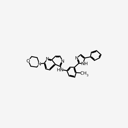 Cc1ccc(Nc2nccc3nc(N4CCOCC4)ccc23)cc1-c1ncc(-c2ccccc2)[nH]1